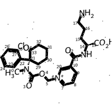 CN(C(=O)OC[n+]1cccc(C(=O)N[C@@H](CCCN)C(=O)O)c1)[C@@]1(c2ccccc2Cl)CCCCC1=O